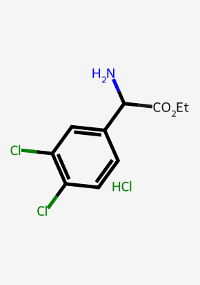 CCOC(=O)C(N)c1ccc(Cl)c(Cl)c1.Cl